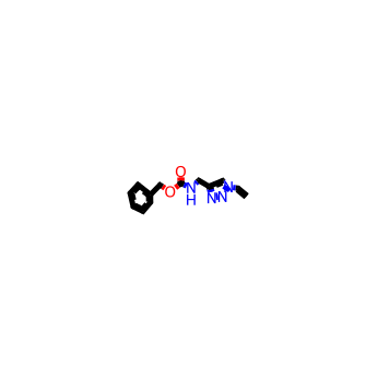 C=Cn1cc(CNC(=O)OCc2ccccc2)nn1